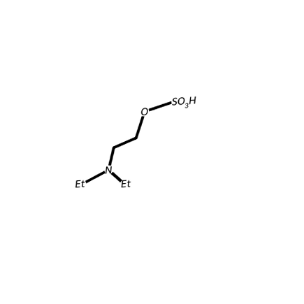 CCN(CC)CCOS(=O)(=O)O